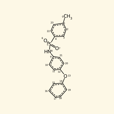 Cc1ccc(S(=O)(=O)Nc2ccc(Oc3ccccc3)cc2)cc1